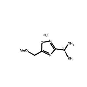 COCc1nc([C@@H](N)C(C)(C)C)no1.Cl